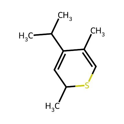 CC1=CSC(C)C=C1C(C)C